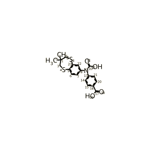 CC1(C)CSc2ccc(N(C(=O)O)c3ccc(C(=O)O)cc3)cc2SC1